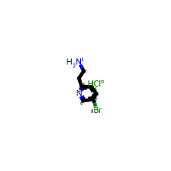 Cl.NCCc1ccc(Br)cn1